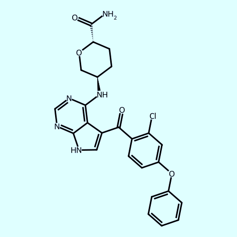 NC(=O)[C@@H]1CC[C@@H](Nc2ncnc3[nH]cc(C(=O)c4ccc(Oc5ccccc5)cc4Cl)c23)CO1